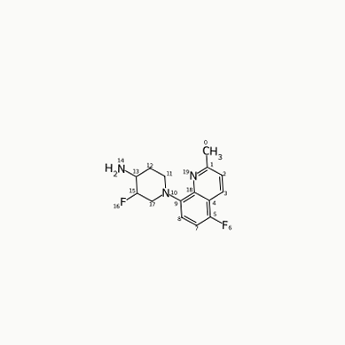 Cc1ccc2c(F)ccc(N3CCC(N)C(F)C3)c2n1